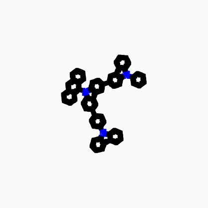 c1ccc(-n2c3ccccc3c3cc(-c4ccc5c(c4)c4cc(-c6ccc(-n7c8ccccc8c8ccccc87)cc6)ccc4n5-c4c5ccccc5cc5ccccc45)ccc32)cc1